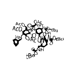 CCC[C@H](OC(C)=O)C(=O)N[C@@H]1C[C@@H](NC(=O)OC(C)(C)C)C(O[C@H]2OC(CNC(=O)OC(C)(C)C)CCC2NC(=O)OC(C)(C)C)C(O)[C@H]1O[C@H]1OC(COC(C)=O)[C@@H](OC(C)=O)[C@H](NCc2ccccc2)C1OC(C)=O